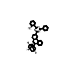 N#Cc1ccccc1-c1nc(C2=CCC3C=C(C45C[C@H]6C[C@H](C4)C[C@@H](C5)C6)c4ccccc4C3=C2)nc(-c2ccccc2)n1